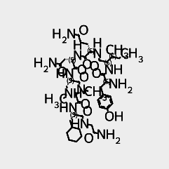 CC[C@H](C)[C@H](NC(=O)[C@@H](N)Cc1ccc(O)cc1)C(=O)N[C@@H](CCC(N)=O)C(=O)N[C@@H](CC(N)=O)C(=O)N[C@@H](CNC)C(=O)N(C)CC(=O)N[C@@H](CC1CCCCC1)C(=O)NCC(N)=O